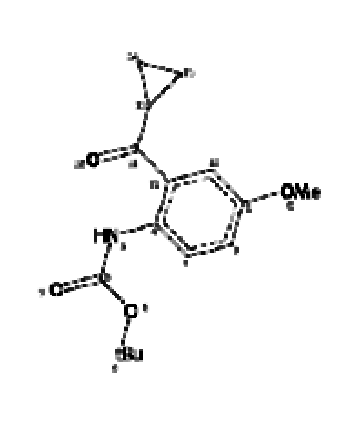 COc1ccc(NC(=O)OC(C)(C)C)c(C(=O)C2CC2)c1